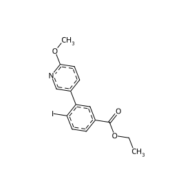 CCOC(=O)c1ccc(I)c(-c2ccc(OC)nc2)c1